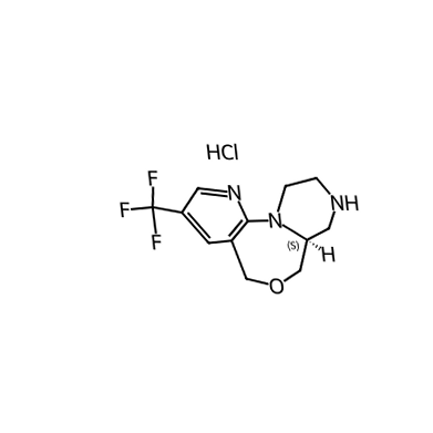 Cl.FC(F)(F)c1cnc2c(c1)COC[C@@H]1CNCCN21